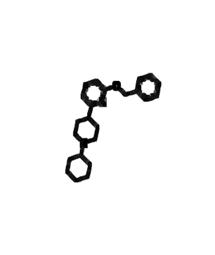 c1ccc(COc2cccc(C3CCN(C4CCCCC4)CC3)n2)cc1